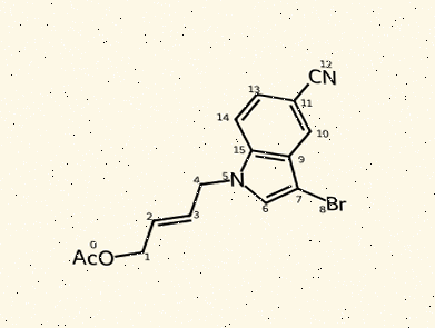 CC(=O)OC/C=C/Cn1cc(Br)c2cc(C#N)ccc21